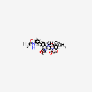 CC(=O)Nc1cccc(-c2ccc(C(CN3CCOCC3)N(C)C(=O)CN3C(=O)COc4cc(C)c(C)cc43)cc2)c1